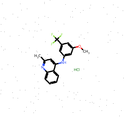 COc1cc(Nc2cc(C)nc3ccccc23)cc(C(F)(F)F)c1.Cl